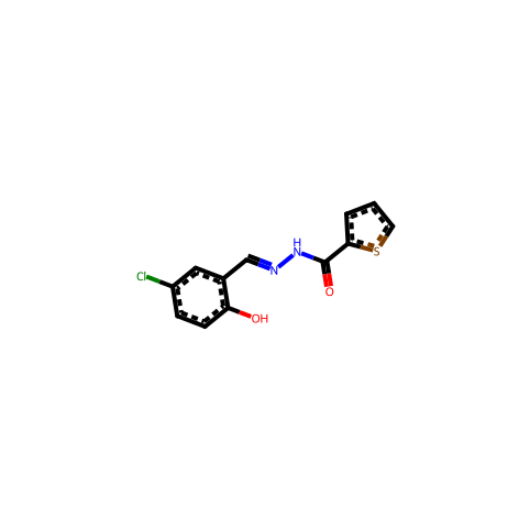 O=C(N/N=C/c1cc(Cl)ccc1O)c1cccs1